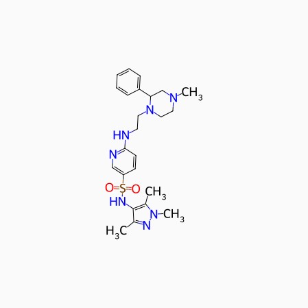 Cc1nn(C)c(C)c1NS(=O)(=O)c1ccc(NCCN2CCN(C)CC2c2ccccc2)nc1